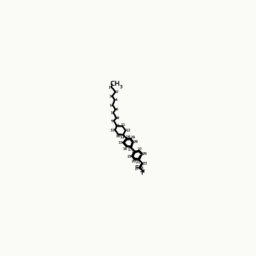 CCCCCCCCCCC1CCC(c2ccc(-c3ccc(C=C(F)F)cc3)cc2)CC1